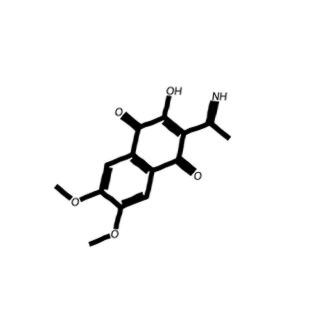 COc1cc2c(cc1OC)C(=O)C(C(C)=N)=C(O)C2=O